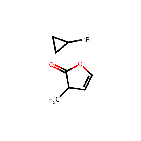 CC1C=COC1=O.CCCC1CC1